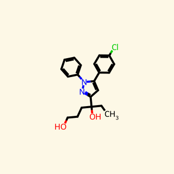 CCC(O)(CCCO)c1cc(-c2ccc(Cl)cc2)n(-c2ccccc2)n1